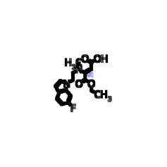 CCOC(=O)/C(=C/C(=O)O)N(C)CCn1ccc2ccc(F)cc21